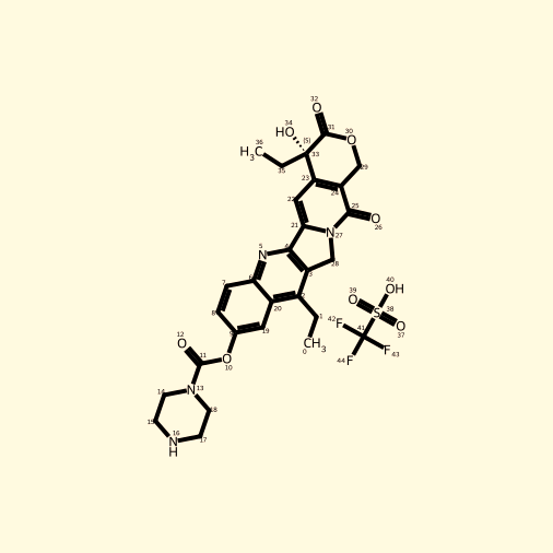 CCc1c2c(nc3ccc(OC(=O)N4CCNCC4)cc13)-c1cc3c(c(=O)n1C2)COC(=O)[C@]3(O)CC.O=S(=O)(O)C(F)(F)F